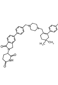 CC1(C)CCC(CN2CCN(Cc3ccc(-c4ccc5c(c4)CN(C4CCC(=O)NC4=O)C5=O)cc3)CC2)=C(c2ccc(F)cc2)C1